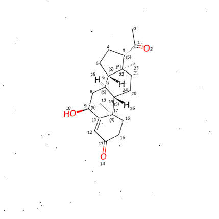 CC(=O)[C@H]1CC[C@H]2[C@@H]3C[C@H](O)C4=CC(=O)CC[C@]4(C)[C@H]3CC[C@]12C